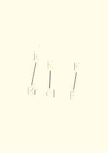 [Cl][K].[F][K].[K][Br]